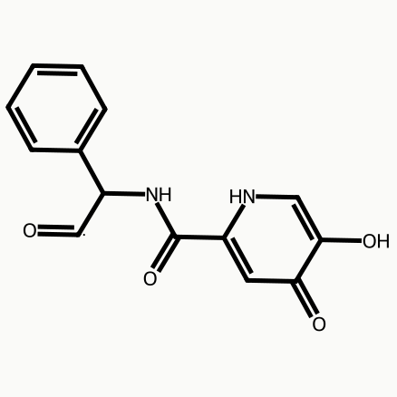 O=[C]C(NC(=O)c1cc(=O)c(O)c[nH]1)c1ccccc1